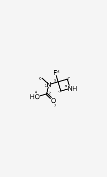 CN(C(=O)O)C1(F)CNC1